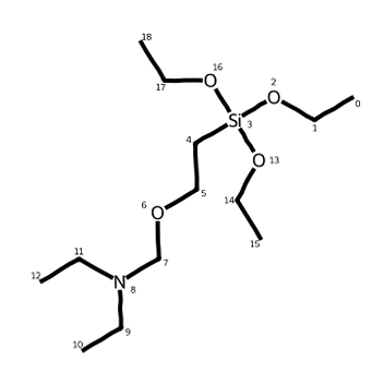 CCO[Si](CCOCN(CC)CC)(OCC)OCC